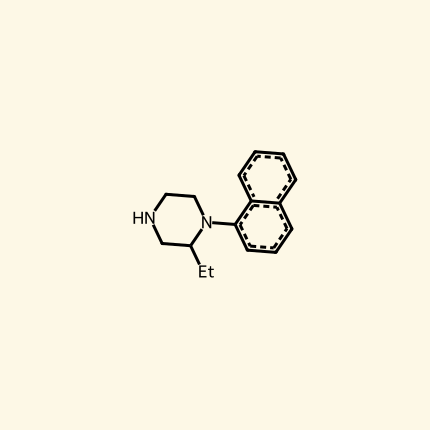 CCC1CNCCN1c1cccc2ccccc12